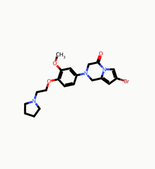 COc1cc(N2CC(=O)n3cc(Br)cc3C2)ccc1OCCN1CCCC1